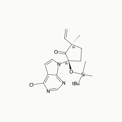 C=C[C@@]1(C)CC[C@](O[Si](C)(C)C(C)(C)C)(n2ccc3c(Cl)ncnc32)C1=O